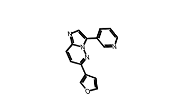 c1cncc(-c2cnc3ccc(-c4ccoc4)nn23)c1